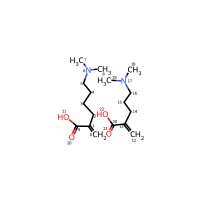 C=C(CCCCN(C)C)C(=O)O.C=C(CCCN(C)C)C(=O)O